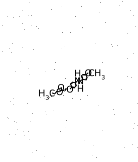 CCCOC(=O)C=COc1ccc(NNc2ccc(OC)cc2)cc1